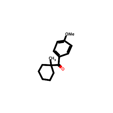 COc1ccc(C(=O)C2(C)CCCCC2)cc1